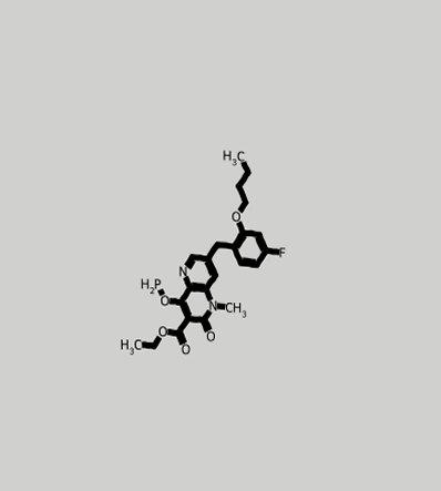 CCCCOc1cc(F)ccc1Cc1cnc2c(OP)c(C(=O)OCC)c(=O)n(C)c2c1